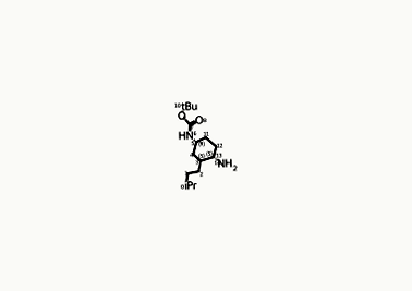 CC(C)CC[C@H]1C[C@H](NC(=O)OC(C)(C)C)CC[C@@H]1N